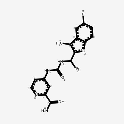 Cc1c(C(NC(=O)Nc2ccnc(C(N)=O)c2)C(C)C)oc2ccc(F)cc12